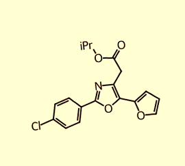 CC(C)OC(=O)Cc1nc(-c2ccc(Cl)cc2)oc1-c1ccco1